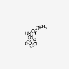 CN1CCC(c2ccc(Nc3ncc4c(n3)N3CCN=C3N(c3c(Cl)cccc3Cl)C4=O)cc2F)CC1